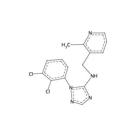 Cc1ncccc1CNc1ncnn1-c1cccc(Cl)c1Cl